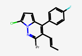 CC=Cc1c(C(C)C)nn2c(Cl)ccc2c1-c1ccc(F)cc1